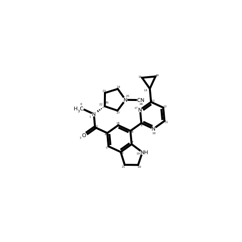 CN(C(=O)c1cc2c(c(-c3nccc(C4CC4)n3)c1)NCC2)[C@@H]1CCN(C#N)C1